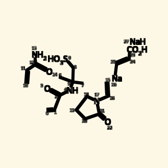 C=CC(=O)NC(C)(C)CS(=O)(=O)O.C=CC(N)=O.C=CN1CCCC1=O.O=C(O)C=[CH][Na].[NaH]